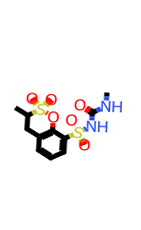 CNC(=O)NS(=O)(=O)c1cccc2c1OS(=O)(=O)C(C)C2